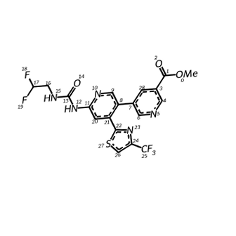 COC(=O)c1cncc(-c2cnc(NC(=O)NCC(F)F)cc2-c2nc(C(F)(F)F)cs2)c1